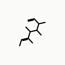 C=CC(C)[C](C)C(C)C(C)=CC